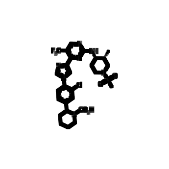 C[C@@H]1CN(S(C)(=O)=O)CC[C@@H]1Nc1ncc(C(F)(F)F)c(-c2cn(-c3ccc(C4CCCCN4C(=O)O)cc3Cl)cn2)n1